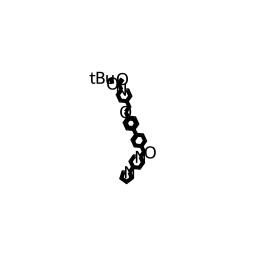 CC(C)(C)OC(=O)N1CCC(COc2ccc(C3=CCC(C(=O)N4CCC(N5CCCC5)CC4)CC3)cc2)CC1